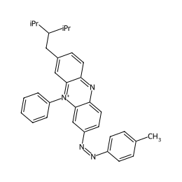 Cc1ccc(/N=N\c2ccc3nc4ccc(CC(C(C)C)C(C)C)cc4[n+](-c4ccccc4)c3c2)cc1